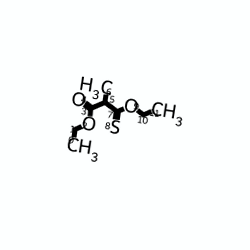 CCOC(=O)C(C)C(=S)OCC